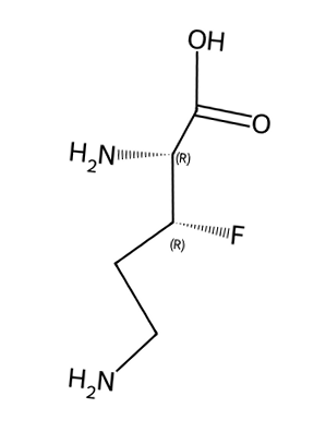 NCC[C@@H](F)[C@H](N)C(=O)O